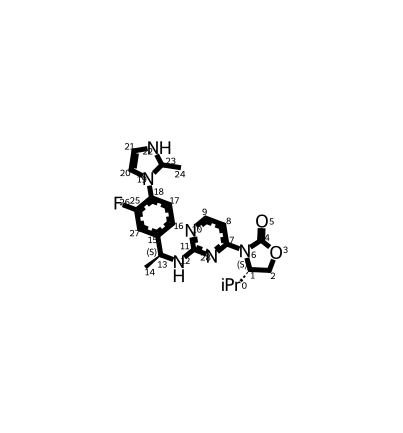 CC(C)[C@H]1COC(=O)N1c1ccnc(N[C@@H](C)c2ccc(N3C=CNC3C)c(F)c2)n1